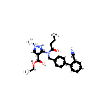 CCCC(=O)N(Cc1ccc(-c2ccccc2C#N)cc1)c1nn(C)cc1C(=O)OCC